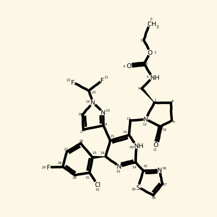 CCOC(=O)NC[C@H]1CCC(=O)N1CC1=C(c2ccn(C(F)F)n2)[C@H](c2ccc(F)cc2Cl)N=C(c2nccs2)N1